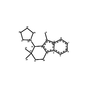 Cc1c2c(n3ccccc13)CCC(C)(C)C2N1CCCC1